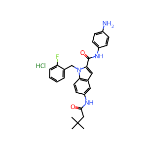 CC(C)(C)CC(=O)Nc1ccc2c(c1)cc(C(=O)Nc1ccc(N)cc1)n2Cc1ccccc1F.Cl